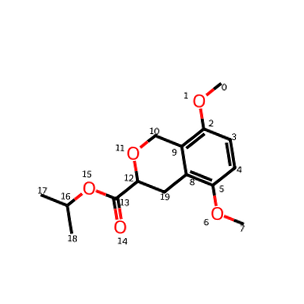 COc1ccc(OC)c2c1COC(C(=O)OC(C)C)C2